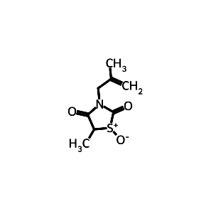 C=C(C)CN1C(=O)C(C)[S+]([O-])C1=O